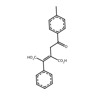 Cc1ccc(C(=O)C/C(C(=O)O)=C(\C(=O)O)c2ccccc2)cc1